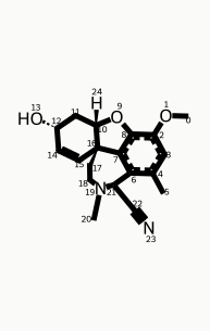 COc1cc(C)c2c3c1O[C@H]1C[C@@H](O)C=C[C@@]31CCN(C)C2C#N